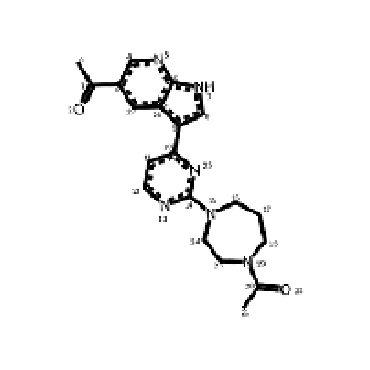 CC(=O)c1cnc2[nH]cc(-c3ccnc(N4CCCN(C(C)=O)CC4)n3)c2c1